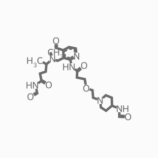 CC(CCC(=O)NC=O)N(C)Cc1c(C=O)ccnc1NC(=O)CCOCCN1CCC(NC=O)CC1